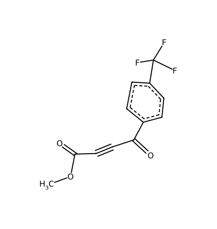 COC(=O)C#CC(=O)c1ccc(C(F)(F)F)cc1